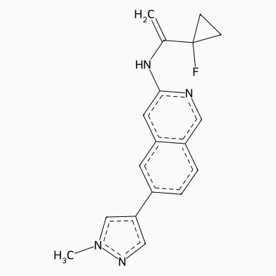 C=C(Nc1cc2cc(-c3cnn(C)c3)ccc2cn1)C1(F)CC1